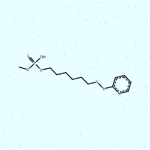 COP(O)(=S)OCCCCCCSSc1ccccn1